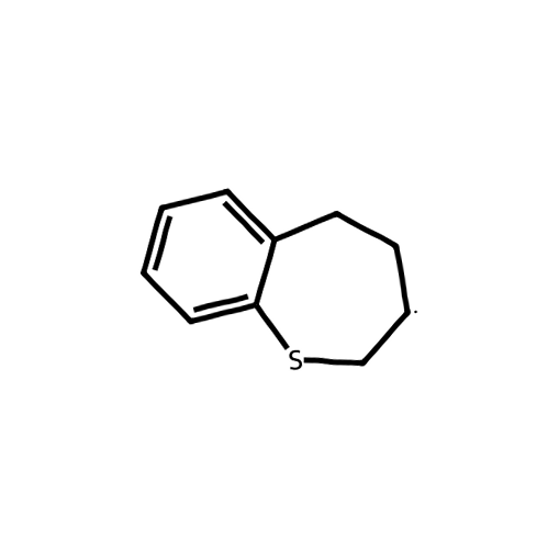 [CH]1CCc2ccccc2SC1